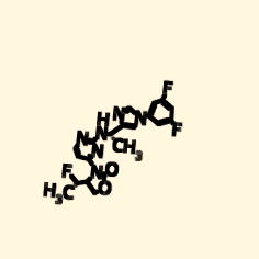 C[C@H](Nc1nccc(N2C(=O)OCC2[C@H](C)F)n1)c1cn(-c2cc(F)cc(F)c2)cn1